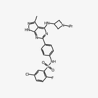 Cc1n[nH]c2nc(-c3ccc(NS(=O)(=O)c4cc(Cl)ccc4F)cc3)nc(NC3CN(C(C)C)C3)c12